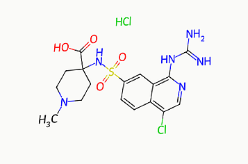 CN1CCC(NS(=O)(=O)c2ccc3c(Cl)cnc(NC(=N)N)c3c2)(C(=O)O)CC1.Cl